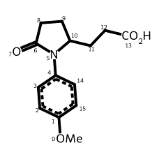 COc1ccc(N2C(=O)CCC2CCC(=O)O)cc1